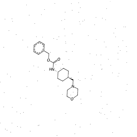 O=C(N[C@H]1CC[C@H](CN2CCOCC2)CC1)OCc1ccccc1